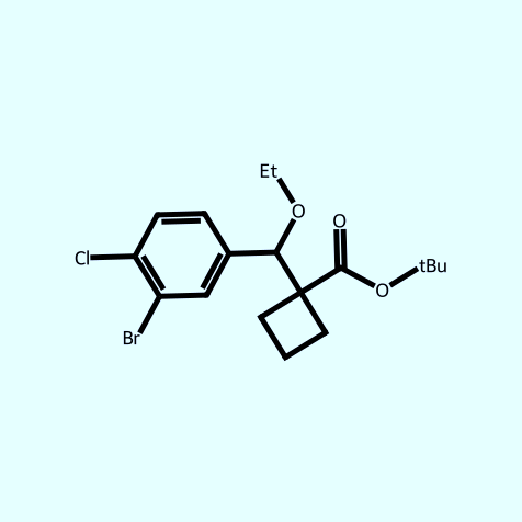 CCOC(c1ccc(Cl)c(Br)c1)C1(C(=O)OC(C)(C)C)CCC1